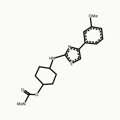 CNC(=O)OC1CCC(Nc2nc(-c3cccc(OC)c3)cs2)CC1